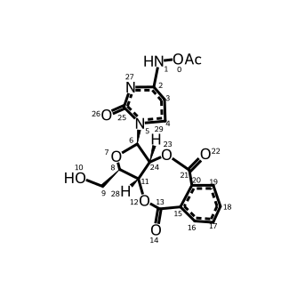 CC(=O)ONc1ccn([C@@H]2O[C@H](CO)[C@H]3OC(=O)c4ccccc4C(=O)O[C@H]32)c(=O)n1